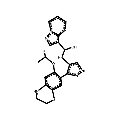 OC(Nc1c[nH]nc1-c1cc2c(cc1OC(F)F)NCCS2)c1cnn2cccnc12